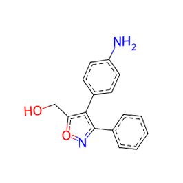 Nc1ccc(-c2c(-c3ccccc3)noc2CO)cc1